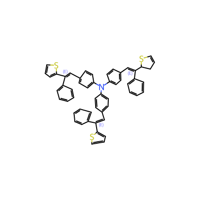 C1=CSC(/C(=C/c2ccc(N(c3ccc(/C=C(\c4ccccc4)c4cccs4)cc3)c3ccc(/C=C(\c4ccccc4)c4cccs4)cc3)cc2)c2ccccc2)C1